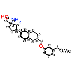 COCc1cccc(OC[C@@H]2CCc3cc([C@H]4CC[C@](N)(CO)C4)ccc3C2)c1